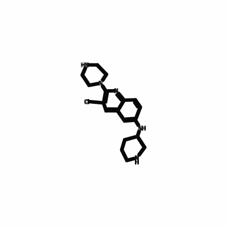 Clc1cc2cc(NC3CCCNC3)ccc2nc1N1CCNCC1